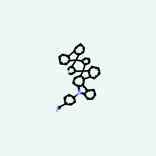 N#Cc1ccc(-n2c3ccccc3c3c4c(ccc32)C2(c3ccccc3-4)c3ccccc3C3(c4ccccc4-c4ccccc43)c3ccccc32)cc1